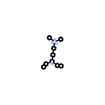 c1ccc(-c2nc(-c3ccccc3)nc(-c3ccc(-c4ccc(-c5cc(-c6ccc7ccccc7c6)nc(-c6ccc7ccccc7c6)c5)cc4)cc3)n2)cc1